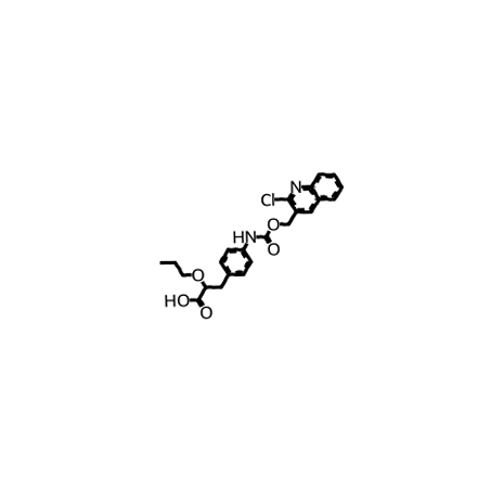 CCCOC(Cc1ccc(NC(=O)OCc2cc3ccccc3nc2Cl)cc1)C(=O)O